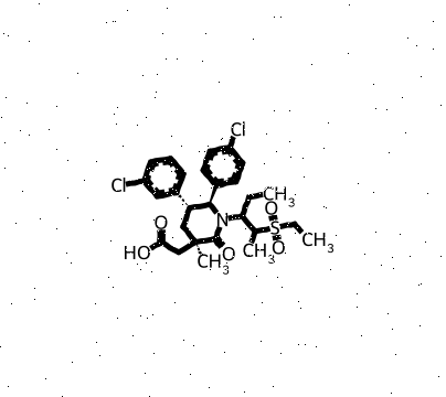 CCC(C(C)S(=O)(=O)CC)N1C(=O)[C@@](C)(CC(=O)O)C[C@H](c2cccc(Cl)c2)[C@H]1c1ccc(Cl)cc1